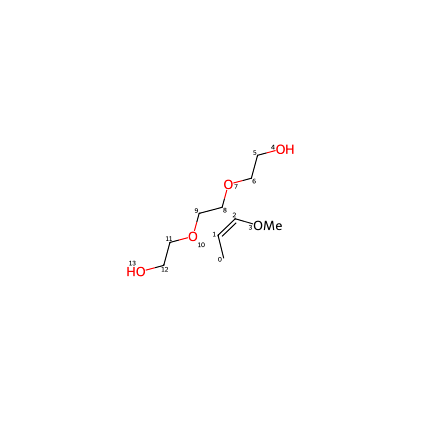 C/C=C\OC.OCCOCCOCCO